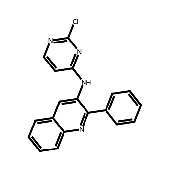 Clc1nccc(Nc2cc3ccccc3nc2-c2ccccc2)n1